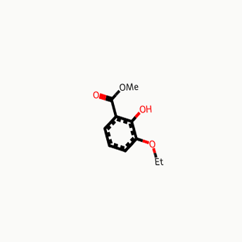 CCOc1cccc(C(=O)OC)c1O